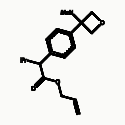 C=CCOC(=O)C(c1ccc(C2(NC)COC2)cc1)C(C)C